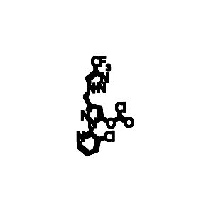 O=C(Cl)Oc1cc(Cn2cc(C(F)(F)F)nn2)nn1-c1ncccc1Cl